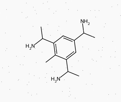 Cc1c(C(C)N)cc(C(C)N)cc1C(C)N